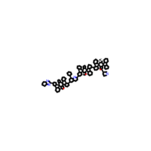 c1ccc(-c2cc(-c3cccc4c3-c3ccccc3C43c4ccccc4C4(c5ccccc5-c5cc(-c6cnc7ccccc7n6)ccc54)c4ccccc43)cc3ccc(-c4ccc5c(c4)-c4ccccc4C54c5ccccc5C5(c6ccccc6-c6c(-c7cccc8c7-c7ccccc7C87c8ccccc8C8(c9ccccc9-c9ccccc98)c8cc(-c9cccnc9)ccc87)cccc65)c5ccccc54)nc23)cc1